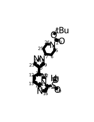 CC(C)(C)OC(=O)N1CCC(n2cc(-c3ccc4ncc([SH](=O)=O)n4n3)cn2)CC1